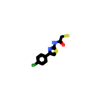 O=C(CS)Nc1nc(-c2ccc(Cl)cc2)cs1